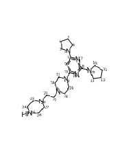 c1c(N2CCCC2)nc(N2CCCC2)nc1N1CCN(CCN2CCNCC2)CC1